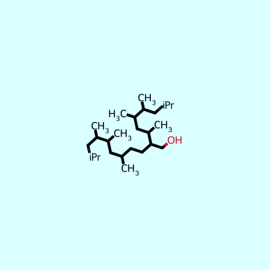 CC(C)CC(C)C(C)CC(C)CCC(CO)C(C)CC(C)C(C)CC(C)C